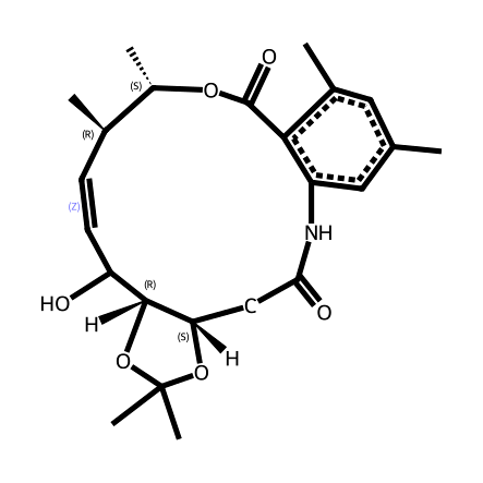 Cc1cc(C)c2c(c1)NC(=O)C[C@@H]1OC(C)(C)O[C@@H]1C(O)/C=C\[C@@H](C)[C@H](C)OC2=O